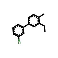 CCc1cc(-c2cccc(Cl)c2)ccc1C